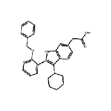 O=C(O)Cc1ccc2c(C3CCCCC3)c(-c3cccnc3OCc3ccccc3)[nH]c2c1